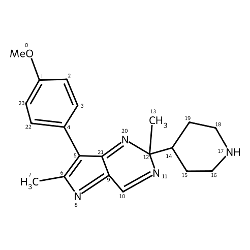 COc1ccc(C2=C(C)N=C3C=NC(C)(C4CCNCC4)N=C32)cc1